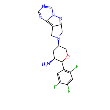 N[C@H]1C[C@@H](N2Cc3nn4cncnc4c3C2)COC1c1cc(F)c(F)cc1F